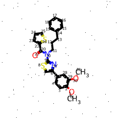 COc1ccc(-c2csc(N(CCCc3ccccc3)C(=O)c3cccs3)n2)cc1OC